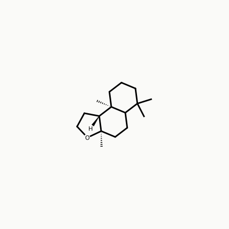 CC1(C)CCC[C@@]2(C)C1CC[C@@]1(C)OCC[C@@H]12